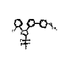 COc1ccc(-c2cccc(C3CC(C(F)(F)C(F)(F)F)=NN3c3ccccc3Cl)c2)cn1